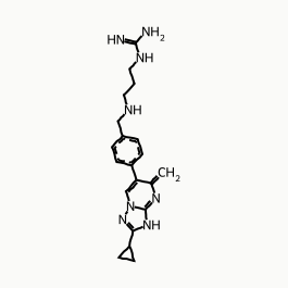 C=C1N=C2NC(C3CC3)=NN2C=C1c1ccc(CNCCCNC(=N)N)cc1